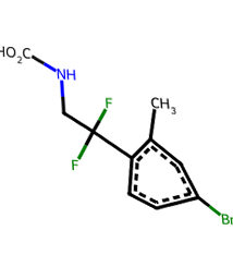 Cc1cc(Br)ccc1C(F)(F)CNC(=O)O